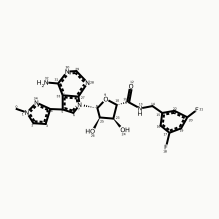 Cn1ccc(-c2cn([C@@H]3O[C@H](C(=O)NCc4cc(F)cc(F)c4)[C@@H](O)[C@H]3O)c3ncnc(N)c23)n1